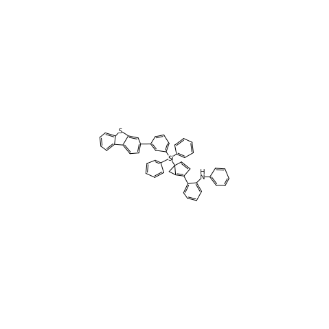 C1=CC2([Si](c3ccccc3)(c3ccccc3)c3cccc(-c4ccc5c(c4)sc4ccccc45)c3)CC2=C1c1ccccc1Nc1ccccc1